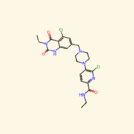 CCNC(=O)c1ccc(N2CCN(Cc3cc(Cl)c4c(=O)n(CC)c(=O)[nH]c4c3)CC2)c(Cl)n1